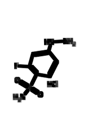 Cl.NNc1ccc(S(N)(=O)=O)c(F)c1